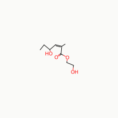 CCC(O)C=C(C)C(=O)OCCO